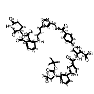 CC(C)(C)OC(=O)N(CC(F)(F)F)c1cc(-c2nc(C(=O)Nc3cn(-c4ccc(C(=O)NCc5cn(CCCNc6cccc7c6C(=O)N(C6CCC(=O)NC6=O)C7=O)nn5)cc4)nc3C(N)=O)co2)ccn1